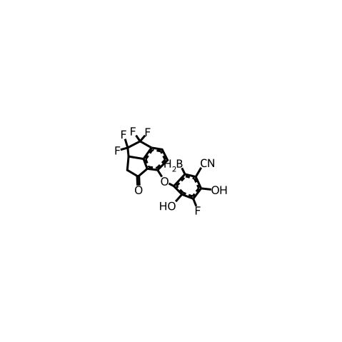 Bc1c(C#N)c(O)c(F)c(O)c1Oc1ccc2c3c1C(=O)CC3C(F)(F)C2(F)F